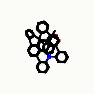 CC1(C)c2ccccc2C2(c3ccccc3-c3ccc(-c4ccccc4N(c4ccccc4-c4ccccc4)c4cccc5ccccc45)cc32)c2ccccc21